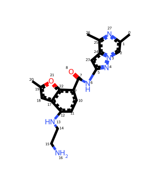 Cc1cn2nc(NC(=O)c3ccc(NCCN)c4cc(C)oc34)cc2c(C)n1